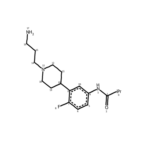 CC(C)C(=O)Nc1ccc(F)c(C2CCN(CCCN)CC2)c1